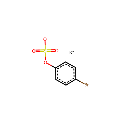 O=S(=O)([O-])Oc1ccc(Br)cc1.[K+]